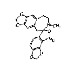 CN1CCc2cc3c(cc2CC12OC(=O)c1c2ccc2c1OCO2)OCO3